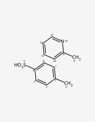 Cc1ccc(S(=O)(=O)O)cc1.Cc1ccccn1